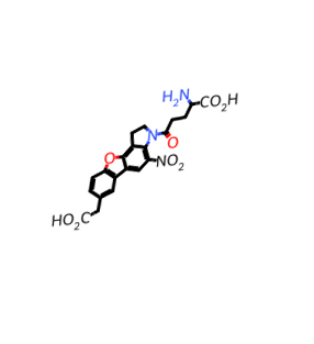 NC(CCC(=O)N1CCc2c1c([N+](=O)[O-])cc1c2oc2ccc(CC(=O)O)cc21)C(=O)O